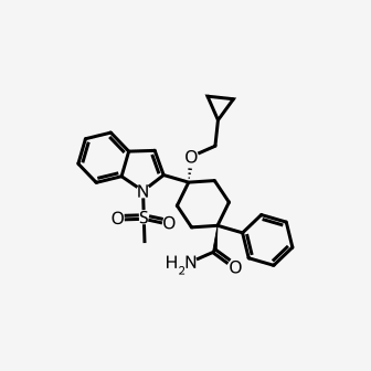 CS(=O)(=O)n1c2ccccc2cc1[C@]1(OCC2CC2)CC[C@@](C(N)=O)(c2ccccc2)CC1